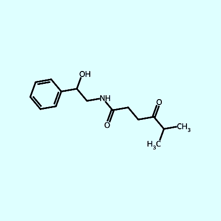 CC(C)C(=O)CCC(=O)NCC(O)c1ccccc1